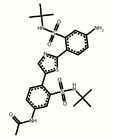 CC(=O)Nc1ccc(-c2cnc(-c3ccc(N)cc3S(=O)(=O)NC(C)(C)C)s2)c(S(=O)(=O)NC(C)(C)C)c1